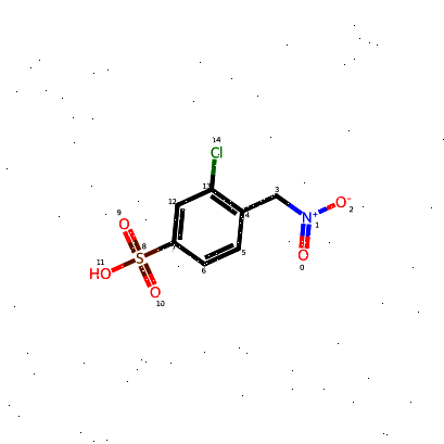 O=[N+]([O-])Cc1ccc(S(=O)(=O)O)cc1Cl